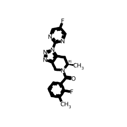 Cc1cccc(C(=O)N2Cc3nnn(-c4ncc(F)cn4)c3C[C@H]2C)c1F